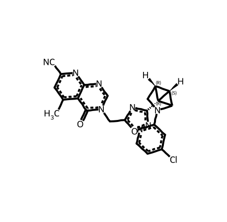 Cc1cc(C#N)nc2ncn(Cc3nc([C@@]45C6[C@H]4[C@H]5CN6c4cc(Cl)ccn4)no3)c(=O)c12